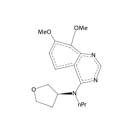 CCCN(c1ncnc2c(OC)c(OC)ccc12)[C@H]1CCOC1